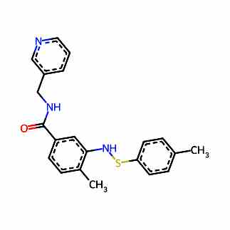 Cc1ccc(SNc2cc(C(=O)NCc3cccnc3)ccc2C)cc1